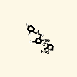 CN(Cc1ccc(F)cc1Cl)C(=O)c1cc(Cl)ccc1NS(=O)(=O)C1=CC=CN2SNC=C12